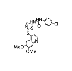 COc1cc2nccc(SC3=NCC(NC(=O)Nc4ccc(Cl)cc4)S3)c2cc1OC